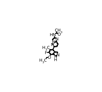 CCOc1c(F)c(C)c(-c2ccc3nc(NC(C)=O)cn3n2)c2cn[nH]c12